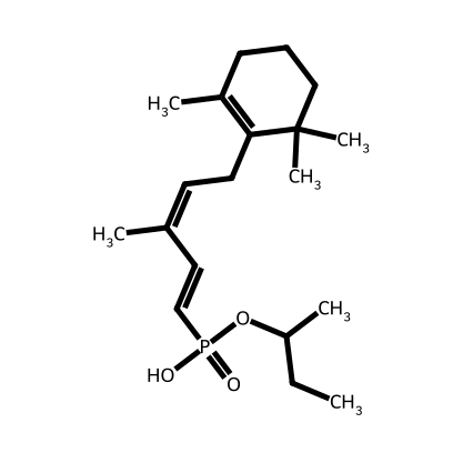 CCC(C)OP(=O)(O)C=CC(C)=CCC1=C(C)CCCC1(C)C